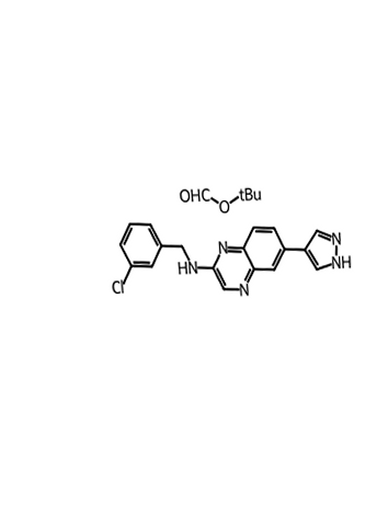 CC(C)(C)OC=O.Clc1cccc(CNc2cnc3cc(-c4cn[nH]c4)ccc3n2)c1